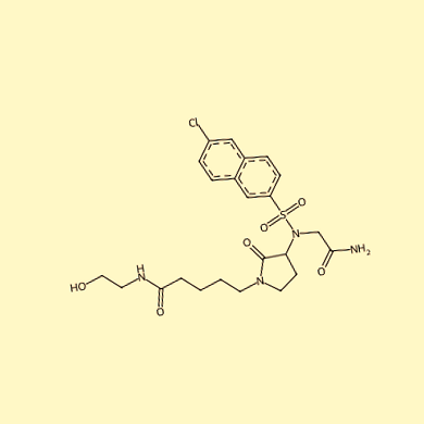 NC(=O)CN(C1CCN(CCCCC(=O)NCCO)C1=O)S(=O)(=O)c1ccc2cc(Cl)ccc2c1